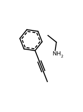 CC#Cc1ccccc1.CCN